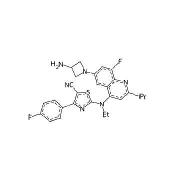 CCN(c1nc(-c2ccc(F)cc2)c(C#N)s1)c1cc(C(C)C)nc2c(F)cc(N3CC(N)C3)cc12